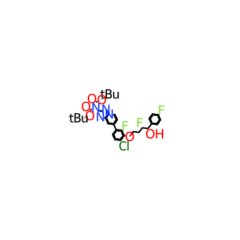 CC(C)(C)OC(=O)N(C(=O)OC(C)(C)C)c1nc2cc(-c3ccc(Cl)c(OCCC(F)C(O)c4ccc(F)cc4)c3F)ccn2n1